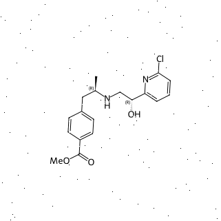 COC(=O)c1ccc(C[C@@H](C)NC[C@@H](O)c2cccc(Cl)n2)cc1